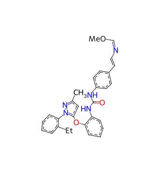 CCc1ccccc1-n1nc(C)cc1Oc1ccccc1NC(=O)Nc1ccc(/C=C/N=C\OC)cc1